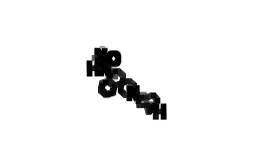 CN(C)C(=O)N[C@H]1CCC2(CCN([C@@H]3CC45C[C@H]4CCC35)CC2)c2ccccc21